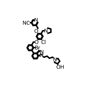 N#Cc1cncc(COc2cc(OCc3cccc(-c4cccc5c4cnn5CCCCN4CCC(O)C4)c3Br)c(Cl)cc2CN2CCCC2)c1